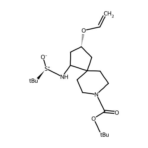 C=CO[C@H]1CC(N[S@+]([O-])C(C)(C)C)C2(CCN(C(=O)OC(C)(C)C)CC2)C1